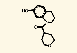 O=C(C1CCOCC1)N1CCCc2ccc(O)cc21